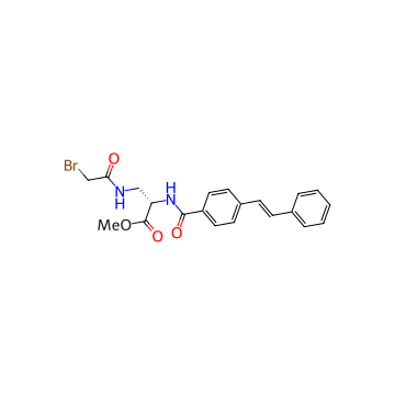 COC(=O)[C@H](CNC(=O)CBr)NC(=O)c1ccc(/C=C/c2ccccc2)cc1